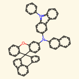 c1ccc(-n2c3ccccc3c3cc(N(c4ccc5c(c4)Oc4ccccc4C54c5ccccc5-c5cccc6cccc4c56)c4ccc5ccccc5c4)ccc32)cc1